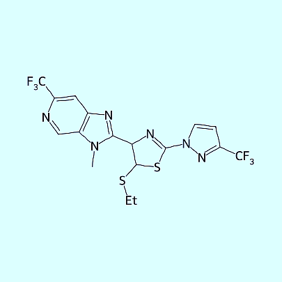 CCSC1SC(n2ccc(C(F)(F)F)n2)=NC1c1nc2cc(C(F)(F)F)ncc2n1C